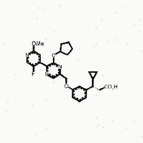 COc1cc(-c2ncc(COc3cccc([C@@H](CC(=O)O)C4CC4)c3)nc2OC2CCCC2)c(F)cn1